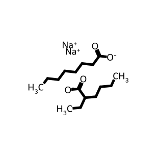 CCCCC(CC)C(=O)[O-].CCCCCCCC(=O)[O-].[Na+].[Na+]